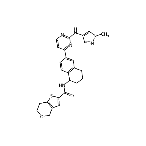 Cn1cc(Nc2nccc(-c3ccc4c(c3)CCCC4NC(=O)c3cc4c(s3)CCOC4)n2)cn1